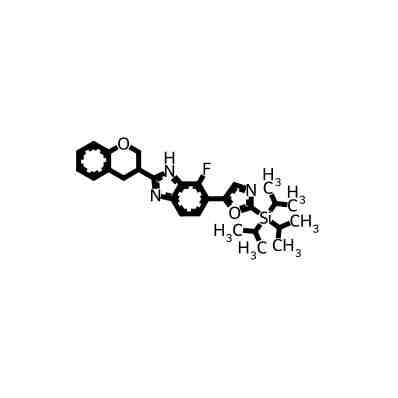 CC(C)[Si](c1ncc(-c2ccc3nc(C4COc5ccccc5C4)[nH]c3c2F)o1)(C(C)C)C(C)C